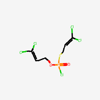 O=P(Cl)(OCC=C(Cl)Cl)SCC=C(Cl)Cl